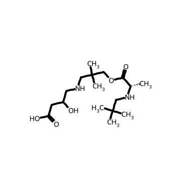 C[C@H](NCC(C)(C)C)C(=O)OCC(C)(C)CNCC(O)CC(=O)O